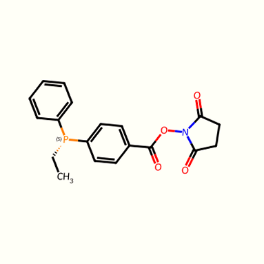 CC[P@](c1ccccc1)c1ccc(C(=O)ON2C(=O)CCC2=O)cc1